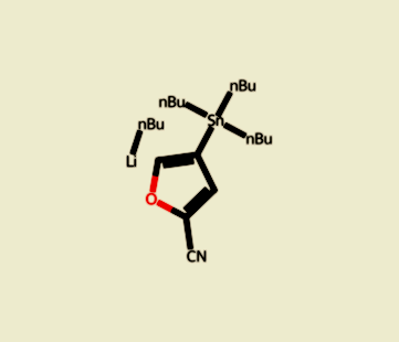 CCC[CH2][Sn]([CH2]CCC)([CH2]CCC)[c]1coc(C#N)c1.[Li][CH2]CCC